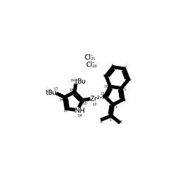 CC(C)=C1C=c2ccccc2=[C]1[Zr+2][c]1[nH]cc(C(C)(C)C)c1C(C)(C)C.[Cl-].[Cl-]